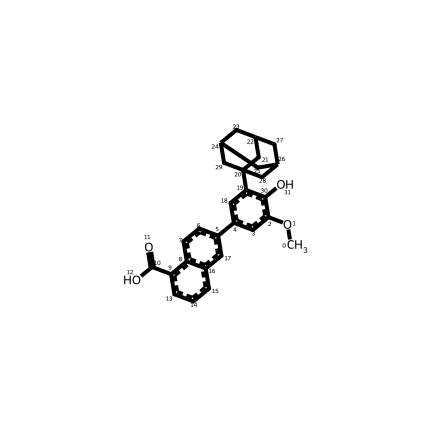 COc1cc(-c2ccc3c(C(=O)O)cccc3c2)cc(C23CC4CC(CC(C4)C2)C3)c1O